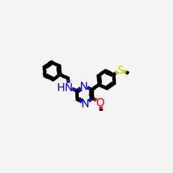 COc1ncc(NCc2ccccc2)nc1-c1ccc(SC)cc1